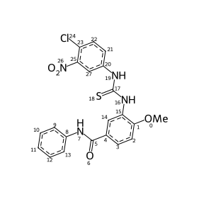 COc1ccc(C(=O)Nc2ccccc2)cc1NC(=S)Nc1ccc(Cl)c([N+](=O)[O-])c1